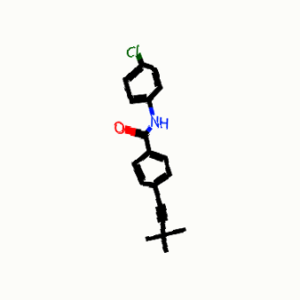 CC(C)(C)C#Cc1ccc(C(=O)Nc2ccc(Cl)cc2)cc1